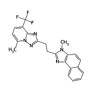 Cc1ccc(C(F)(F)F)c2nc(CCc3nc4c5ccccc5ccc4n3C)nn12